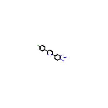 Cn1c(N)nc2cc(-c3ccc(-c4ccc(Cl)cc4)cn3)ccc21